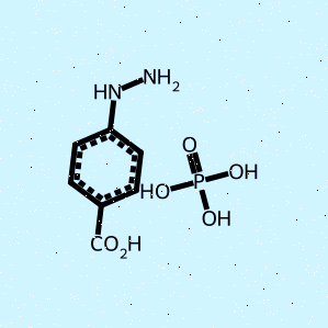 NNc1ccc(C(=O)O)cc1.O=P(O)(O)O